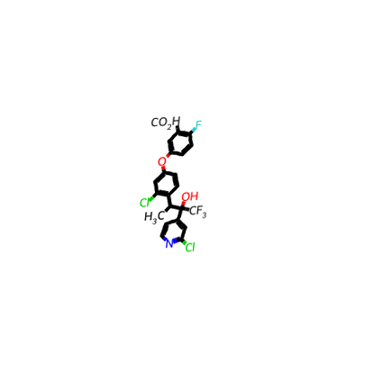 CC(c1ccc(Oc2ccc(F)c(C(=O)O)c2)cc1Cl)C(O)(c1ccnc(Cl)c1)C(F)(F)F